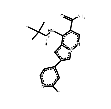 C[C@@H](Nc1c(C(N)=O)cnn2cc(-c3ccnc(F)c3)cc12)C(C)(C)F